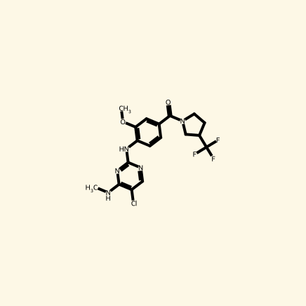 CNc1nc(Nc2ccc(C(=O)N3CCC(C(F)(F)F)C3)cc2OC)ncc1Cl